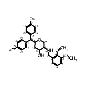 COc1cccc(CNC2COC(C(c3ccc(F)cc3)c3ccc(F)cc3)CC2O)c1OC